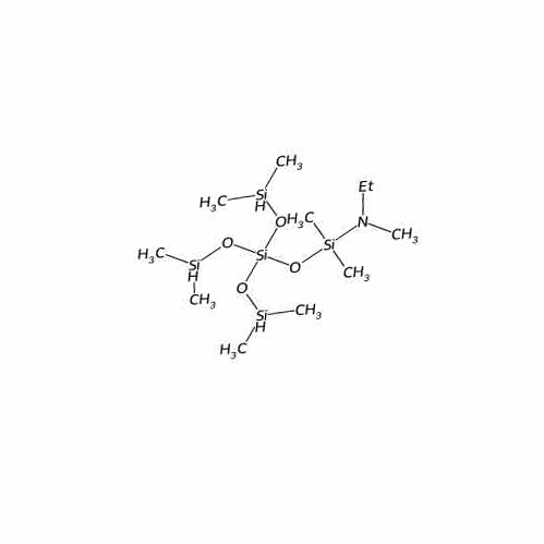 CCN(C)[Si](C)(C)O[Si](O[SiH](C)C)(O[SiH](C)C)O[SiH](C)C